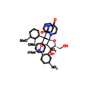 CCCCCCN(O[C@@H]1[C@H](O)[C@@H](CO)O[C@]1(n1ccc(=O)[nH]c1=O)C(c1ccccc1)(c1ccccc1)c1cccc(OC)c1OC)c1ccc([N+](=O)[O-])cc1[N+](=O)[O-]